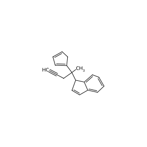 C#CCC(C)(C1=CC=CC1)C1C=Cc2ccccc21